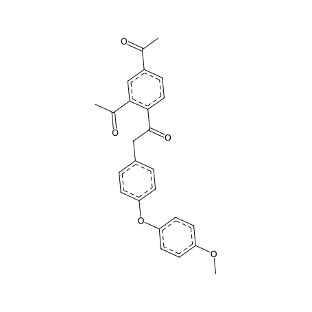 COc1ccc(Oc2ccc(CC(=O)c3ccc(C(C)=O)cc3C(C)=O)cc2)cc1